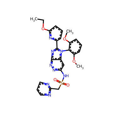 CCOc1cccc(-c2nc3nnc(NS(=O)(=O)Cc4ncccn4)cc3n2-c2c(OC)cccc2OC)n1